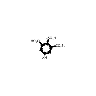 CCOC(=O)c1cccc(C(=O)O)c1S(=O)(=O)O.[KH]